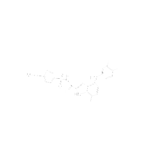 COc1ccc(S(=O)(=O)NC(=O)c2cc3c(Nc4ccc(F)c(Cl)c4)ccc(C)c3[nH]2)cc1